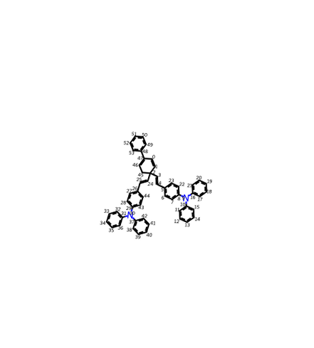 C1=CC(C=Cc2ccc(N(c3ccccc3)c3ccccc3)cc2)(C=Cc2ccc(N(c3ccccc3)c3ccccc3)cc2)CC=C1c1ccccc1